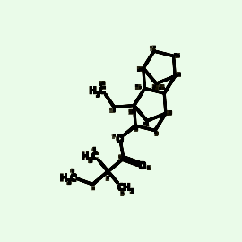 CCC(C)(C)C(=O)OC1CC2CC1(CC)C1C3CCC(C3)C21